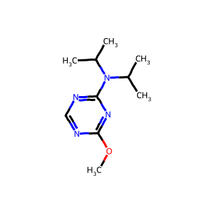 COc1ncnc(N(C(C)C)C(C)C)n1